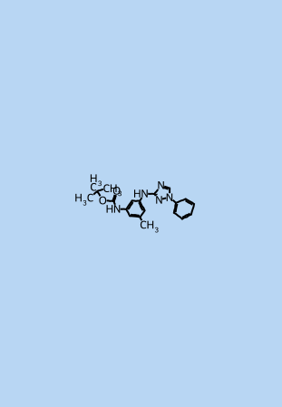 Cc1cc(NC(=O)OC(C)(C)C)cc(Nc2ncn(-c3ccccc3)n2)c1